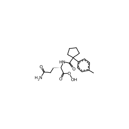 Cc1ccc(C2(C(=O)N[C@@H](CCC(N)=O)C(=O)OO)CCCC2)cc1